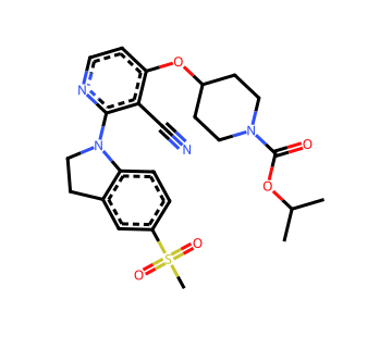 CC(C)OC(=O)N1CCC(Oc2ccnc(N3CCc4cc(S(C)(=O)=O)ccc43)c2C#N)CC1